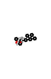 CC(C)(C)c1cc(-c2ccc(-c3ccccc3)c(-c3ccccc3)c2-c2ccccc2)ccc1-c1ncc2c(n1)Oc1ccccc1[Si]21c2ccccc2Oc2ccccc21